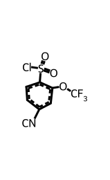 [C-]#[N+]c1ccc(S(=O)(=O)Cl)c(OC(F)(F)F)c1